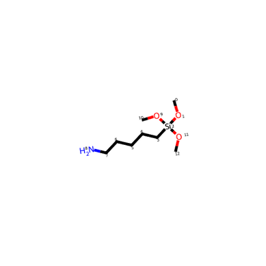 CO[Si](CCCCCN)(OC)OC